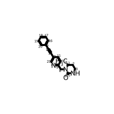 CC1CCNC(=O)N1Cc1ccc(C#Cc2ccccc2)cn1